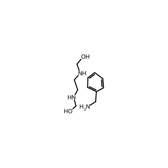 NCc1ccccc1.OCNCCNCO